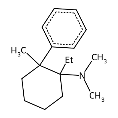 CCC1(N(C)C)CCCCC1(C)c1ccccc1